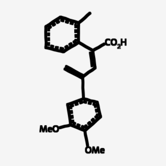 C=C(/C=C(/C(=O)O)c1ccccc1C)c1ccc(OC)c(OC)c1